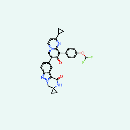 O=C1NC2(CC2)Cn2nc3ccc(-c4cn5ccc(C6CC6)nc5c(-c5ccc(OC(F)F)cc5)c4=O)cc3c21